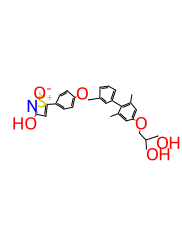 Cc1cc(OCC(CO)CO)cc(C)c1-c1cccc(COc2ccc(-c3cc(O)n[s+]3[O-])cc2)c1